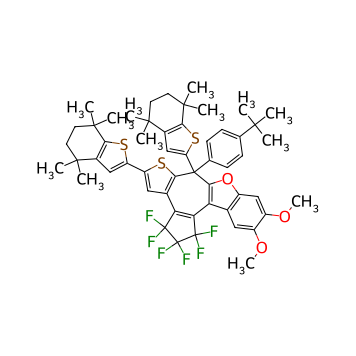 COc1cc2oc3c(c2cc1OC)C1=C(c2cc(-c4cc5c(s4)C(C)(C)CCC5(C)C)sc2C3(c2ccc(C(C)(C)C)cc2)c2cc3c(s2)C(C)(C)CCC3(C)C)C(F)(F)C(F)(F)C1(F)F